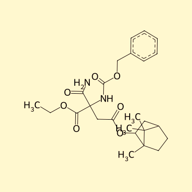 CCOC(=O)C(CC(=O)OC1CC2CCC1(C)C2(C)C)(NC(=O)OCc1ccccc1)C(N)=O